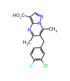 Cc1nc2c(C(=O)O)cnn2c(C)c1Cc1ccc(F)c(Cl)c1